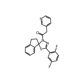 O=C(Cc1cccnc1)N1N=C(c2cc(F)ccc2F)SC12CCc1ccccc12